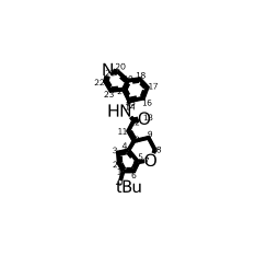 CC(C)(C)c1ccc2c(c1)OCCC2=CC(=O)Nc1cccc2cnccc12